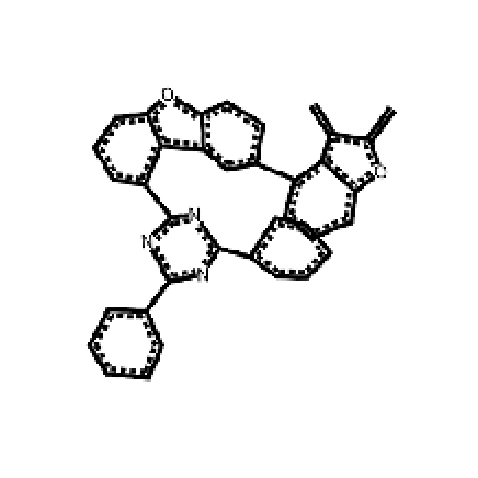 C=c1oc2cccc(-c3ccc4oc5cccc(-c6nc(-c7ccccc7)nc(-c7ccccc7)n6)c5c4c3)c2c1=C